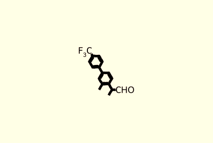 Cc1cc(-c2ccc(C(F)(F)F)cc2)ccc1C(C)C=O